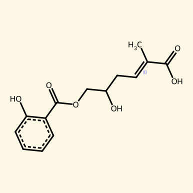 C/C(=C\CC(O)COC(=O)c1ccccc1O)C(=O)O